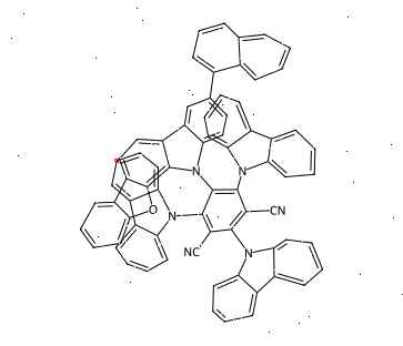 N#Cc1c(-n2c3ccccc3c3ccccc32)c(C#N)c(-n2c3ccccc3c3ccccc32)c(-n2c3ccc(-c4cccc5ccccc45)cc3c3ccc4c5ccccc5oc4c32)c1-n1c2ccccc2c2ccccc21